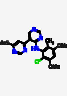 COc1cc(OC)c(Cl)c(Nc2ncncc2-c2cc(SC)ncn2)c1C